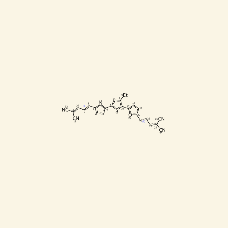 CCc1cc(-c2ccc(/C=C/C=C(C#N)C#N)o2)sc1-c1ccc(/C=C/C=C(C#N)C#N)o1